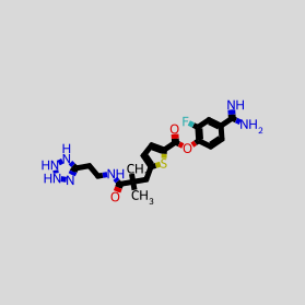 CC(C)(Cc1ccc(C(=O)Oc2ccc(C(=N)N)cc2F)s1)C(=O)NCCC1=NNNN1